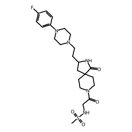 CS(=O)(=O)NCC(=O)N1CCC2(CC1)CC(CCN1CCN(c3ccc(F)cc3)CC1)NC2=O